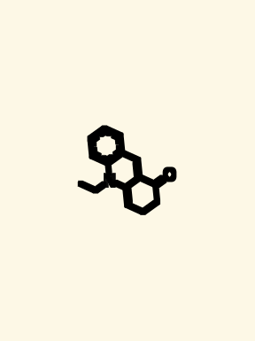 CCN1C2=CCCC(=O)C2=Cc2ccccc21